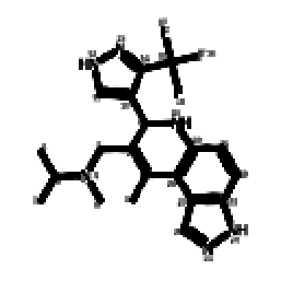 CC1=C(CN(C)C(C)C)C(c2c[nH]nc2C(F)(F)F)Nc2ccc3[nH]ncc3c21